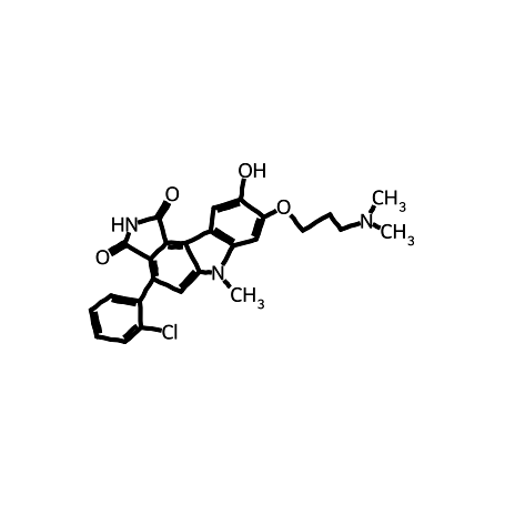 CN(C)CCCOc1cc2c(cc1O)c1c3c(c(-c4ccccc4Cl)cc1n2C)C(=O)NC3=O